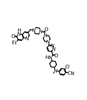 CCc1cc2ncc(CN3CCN(C(=O)N4CCN(c5ccc(C(=O)NC6CCC(N(C)c7ccc(C#N)c(Cl)c7)CC6)nn5)CC4)CC3)cc2[nH]c1=O